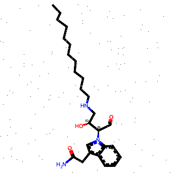 CCCCCCCCCCCCNC[C@H](O)[C@@H](C=O)n1cc(CC(N)=O)c2ccccc21